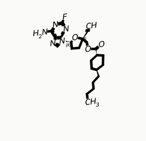 C#C[C@@]1(COC(=O)[C@H]2CC[C@H](CCCCC)CC2)CC[C@H](n2cnc3c(N)nc(F)nc32)O1